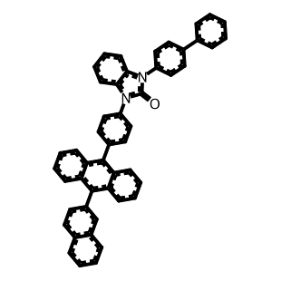 O=c1n(-c2ccc(-c3ccccc3)cc2)c2ccccc2n1-c1ccc(-c2c3ccccc3c(-c3ccc4ccccc4c3)c3ccccc23)cc1